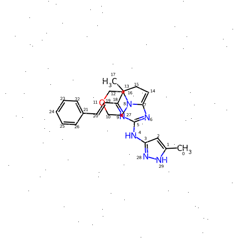 Cc1cc(NC2=N/C(N3CCOCC3)=C/CC(C)C(/C=C/c3ccccc3)=N\2)n[nH]1